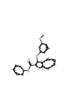 COc1cccc(Oc2c(C(=O)Oc3ccccc3)sc3ccccc23)c1